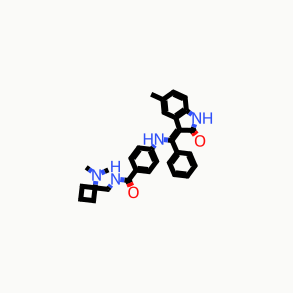 Cc1ccc2c(c1)C(=C(Nc1ccc(C(=O)NCC3(N(C)C)CCC3)cc1)c1ccccc1)C(=O)N2